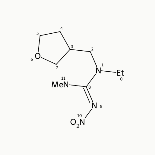 CCN(CC1CCOC1)/C(=N/[N+](=O)[O-])NC